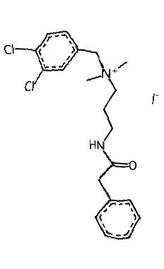 C[N+](C)(CCCNC(=O)Cc1ccccc1)Cc1ccc(Cl)c(Cl)c1.[I-]